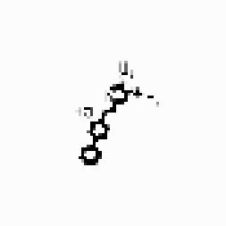 COc1cc(C=Cc2ccc(-c3ccccc3)cc2)ncc1C.Cl